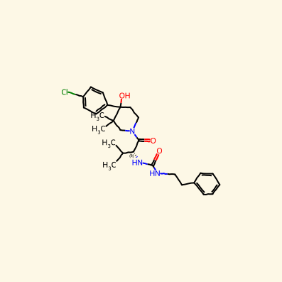 CC(C)[C@@H](NC(=O)NCCc1ccccc1)C(=O)N1CCC(O)(c2ccc(Cl)cc2)C(C)(C)C1